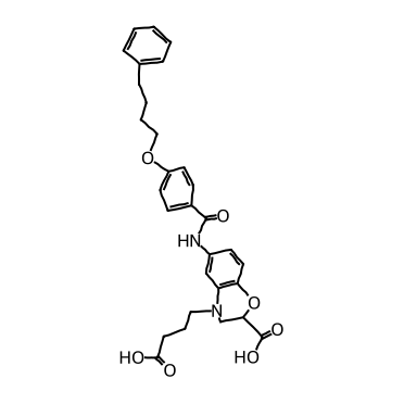 O=C(O)CCCN1CC(C(=O)O)Oc2ccc(NC(=O)c3ccc(OCCCCc4ccccc4)cc3)cc21